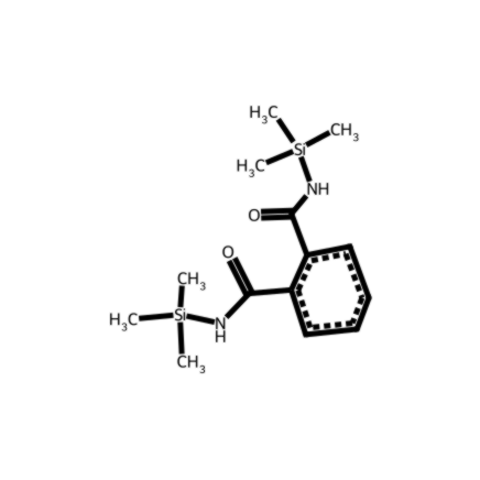 C[Si](C)(C)NC(=O)c1ccccc1C(=O)N[Si](C)(C)C